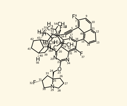 CC(C)[Si](C#Cc1c(F)ccc2cccc(-c3nc4c5c(nc(OC[C@@]67CCCN6C[C@H](F)C7)nc5c3F)N3C[C@H]5CC[C@H](C5)[C@H]3C[C@H]4F)c12)(C(C)C)C(C)C